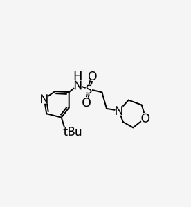 CC(C)(C)c1cncc(NS(=O)(=O)CCN2CCOCC2)c1